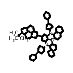 CC(C)(C)c1ccc2ccc3cc(-c4cc5c6c(c4)N(c4ccc(-c7ccccc7)cc4)c4c(ccc7ccccc47)B6c4ccc6ccccc6c4N5c4ccc(-c5ccccc5)cc4)cc4ccc1c2c34